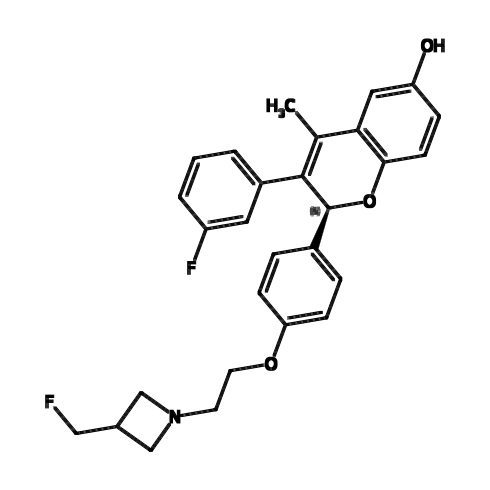 CC1=C(c2cccc(F)c2)[C@H](c2ccc(OCCN3CC(CF)C3)cc2)Oc2ccc(O)cc21